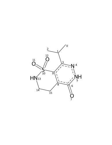 CC(C)c1n[nH]c(=O)c2c1S(=O)(=O)NCC2